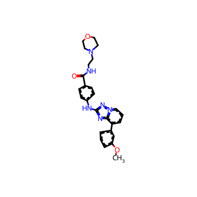 COc1cccc(-c2cccn3nc(Nc4ccc(C(=O)NCCN5CCOCC5)cc4)nc23)c1